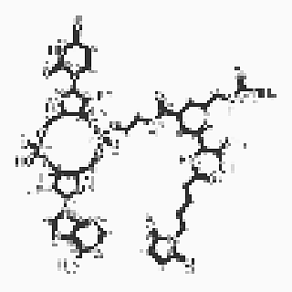 CC(C)C(NC(=O)CCCCN1C(=O)C=CC1=O)C(=O)CC(CCCNC(N)=O)C(=O)NCCSP1(=O)OC[C@H]2O[C@@H](n3cnc4c(N)ncnc43)[C@H](F)[C@@H]2OP(=O)(O)OC[C@H]2O[C@@H](n3ccc(=O)[nH]c3=O)[C@H](F)[C@@H]2O1